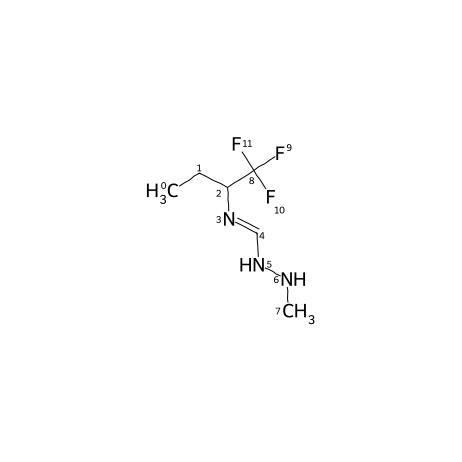 CCC(N=CNNC)C(F)(F)F